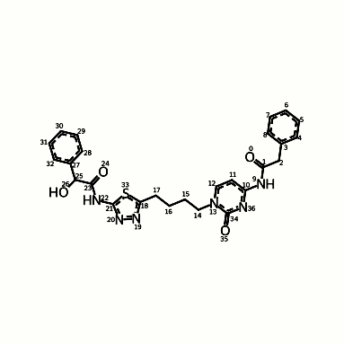 O=C(Cc1ccccc1)Nc1ccn(CCCCc2nnc(NC(=O)C(O)c3ccccc3)s2)c(=O)n1